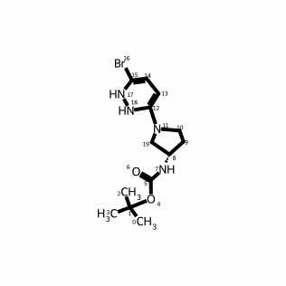 CC(C)(C)OC(=O)N[C@H]1CCN(C2=CC=C(Br)NN2)C1